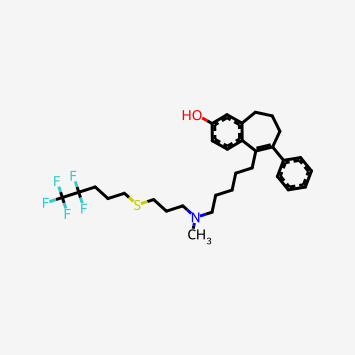 CN(CCCCCC1=C(c2ccccc2)CCCc2cc(O)ccc21)CCCSCCCC(F)(F)C(F)(F)F